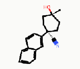 C[C@]1(O)CC[C@](C#N)(c2ccc3ccccc3c2)CC1